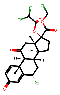 C[C@]12C=CC(=O)C=C1[C@@H](Cl)C[C@@H]1[C@@H]2C(=O)C[C@@]2(C)[C@H]1CC[C@]2(OC(=O)C(Cl)Cl)C(=O)OCCl